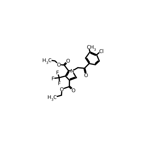 CCOC(=O)c1cn(CC(=O)c2ccc(Cl)c(C)c2)c(C(=O)OCC)c1C(F)(F)F